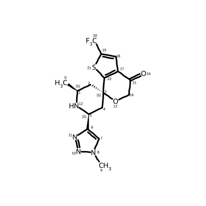 C[C@H]1C[C@@]2(C[C@@H](c3cn(C)nn3)N1)OCC(=O)c1cc(C(F)(F)F)sc12